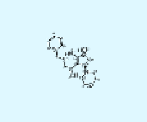 CC(CSCc1ccccc1)c1c([NH-])on[n+]1N1CCOCC1.Cl